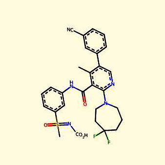 Cc1c(-c2cccc(C#N)c2)cnc(N2CCCC(F)(F)CC2)c1C(=O)Nc1cccc(S(C)(=O)=NC(=O)O)c1